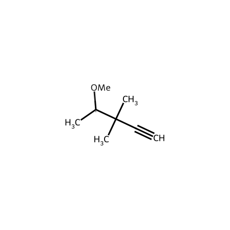 C#CC(C)(C)[C](C)OC